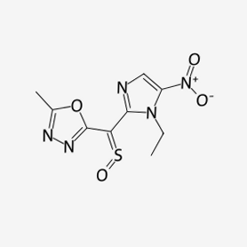 CCn1c([N+](=O)[O-])cnc1C(=S=O)c1nnc(C)o1